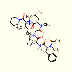 CC[C@H](C)[C@H](NC(=O)[C@H](CC(C)C)N(C)C(=O)CN(C)C(=O)[C@H](C)N(C)C(=O)[C@H](Cc1ccccc1)N(C)C(C)=O)C(=O)N1CCCCC1